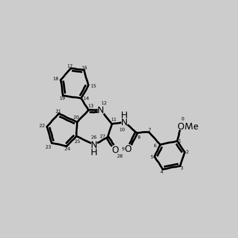 COc1ccccc1CC(=O)NC1N=C(c2ccccc2)c2ccccc2NC1=O